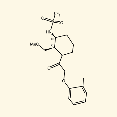 COC[C@H]1[C@@H](NS(=O)(=O)C(F)(F)F)CCCN1C(=O)COc1ccccc1C